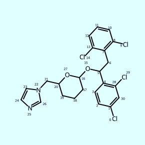 Clc1ccc(C(Cc2c(Cl)cccc2Cl)OC2CCCC(Cn3ccnc3)O2)c(Cl)c1